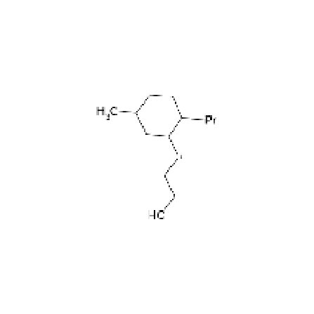 CC1CCC(C(C)C)C([C]CCO)C1